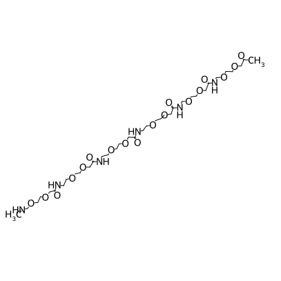 CNCOCCOCC(=O)NCCOCCOCC(=O)NCCOCCOCC(=O)NCCOCCOCC(=O)NCOCCOCC(=O)NCOCCOCC(C)=O